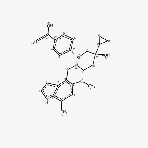 COc1cc(C)c2[nH]ccc2c1CN1CC[C@@](O)(C2CC2)C[Si@H]1c1ccc(C(=O)O)cc1